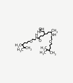 C=C(CCC(CCC(=O)NCCOCCCC(=C)C(=C)C)CPO)NCCOCCCC(=C)C(=C)C